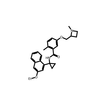 CCOc1cc(C2(NC(=O)c3cc(OCC4CCN4C)ccc3C)CC2)c2ccccc2c1